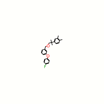 Cc1ccc(C(C)(C)COCc2cccc(Oc3ccc(F)cc3)c2)cc1C